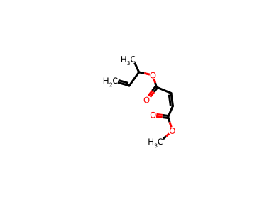 C=CC(C)OC(=O)/C=C\C(=O)OC